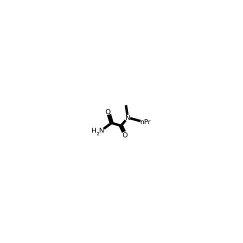 CCCN(C)C(=O)C(N)=O